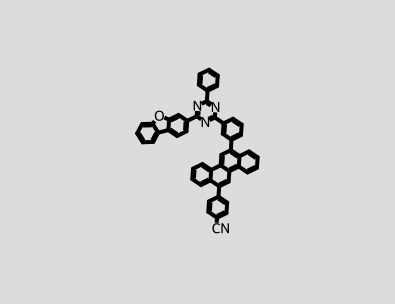 N#Cc1ccc(-c2cc3c4ccccc4c(-c4cccc(-c5nc(-c6ccccc6)nc(-c6ccc7c(c6)oc6ccccc67)n5)c4)cc3c3ccccc23)cc1